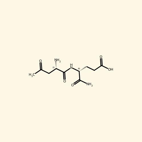 CC(=O)C[C@H](N)C(=O)N[C@H](CCC(=O)O)C(N)=O